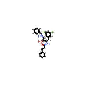 O=C(CCc1ccccc1)N[C@@H](Cc1cc(F)cc(F)c1)[C@@H](O)CNCc1ccccc1